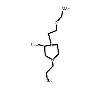 CSCOCCN1CCN(CCC(C)(C)C)C[C@H]1C